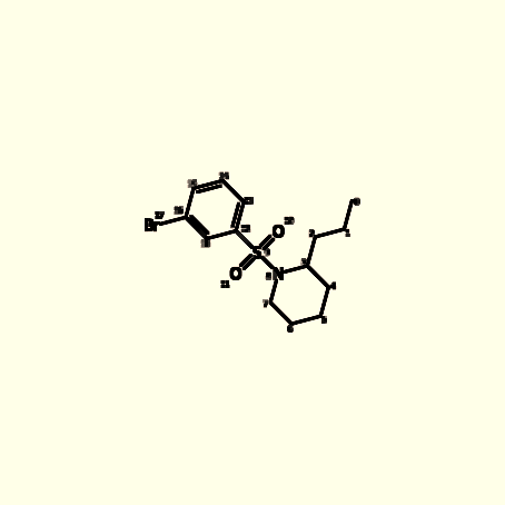 CCCC1CCCCN1S(=O)(=O)c1cccc(Br)c1